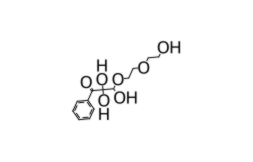 O=C(c1ccccc1)C(O)(O)C(O)OCCOCCO